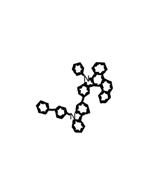 c1ccc(-c2ccc(-n3c4ccccc4c4ccc(-c5ccc6c(c5)c5c7c8ccccc8ccc7c7ccccc7c5n6-c5ccccc5)cc43)cc2)cc1